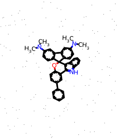 CN(C)c1ccc2c(c1)-c1cc(N(C)C)ccc1C21Oc2ccc(-c3ccccc3)cc2-c2[nH]c3ccccc3c21